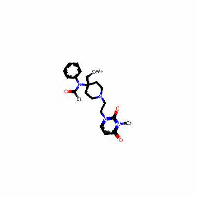 CCC(=O)N(c1ccccc1)C1(COC)CCN(CCn2ccc(=O)n(CC)c2=O)CC1